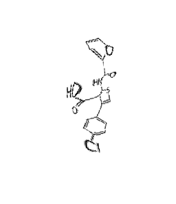 O=C(Nc1scc(-c2ccc(Cl)cc2)c1C(=O)O)c1ccco1